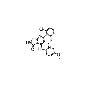 COC1=CC=C(Nc2cc(-c3c(F)cccc3Cl)nc3c2C(=O)NC3)N(C)C1